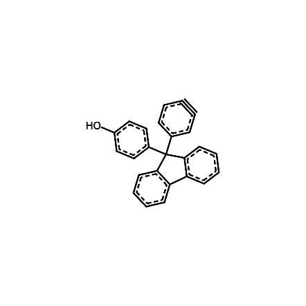 Oc1ccc(C2(c3cc#ccc3)c3ccccc3-c3ccccc32)cc1